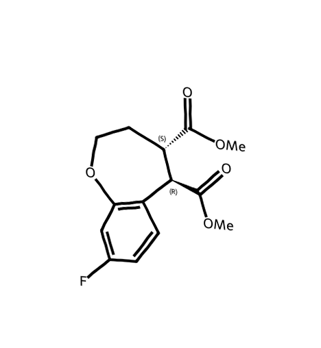 COC(=O)[C@H]1CCOc2cc(F)ccc2[C@@H]1C(=O)OC